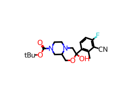 Cc1c(C2(O)CN3CCN(C(=O)OC(C)(C)C)CC3CO2)ccc(F)c1C#N